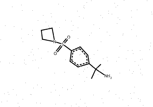 CC(C)(N)c1ccc(S(=O)(=O)N2CCC2)cc1